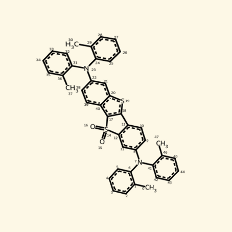 Cc1ccccc1N(c1ccc2c(c1)S(=O)(=O)c1c-2sc2cc(N(c3ccccc3C)c3ccccc3C)ccc12)c1ccccc1C